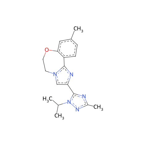 Cc1ccc2c(c1)OCCn1cc(-c3nc(C)nn3C(C)C)nc1-2